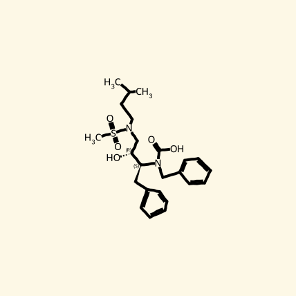 CC(C)CCN(C[C@@H](O)[C@H](Cc1ccccc1)N(Cc1ccccc1)C(=O)O)S(C)(=O)=O